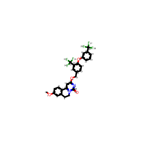 COc1ccc2c(c1)CCn1c-2cc(OCc2ccc(Oc3cccc(C(F)(F)F)c3)c(C(F)(F)F)c2)nc1=O